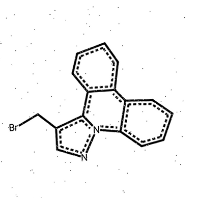 BrCc1cnn2c3ccccc3c3ccccc3c12